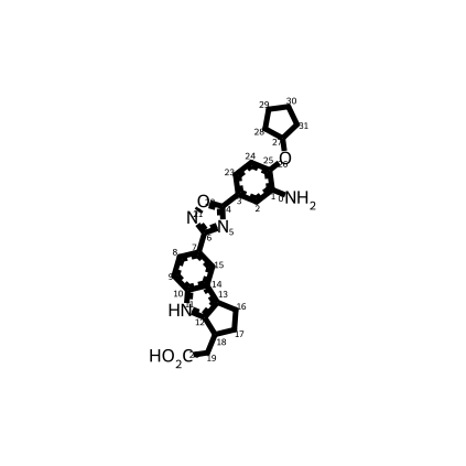 Nc1cc(-c2nc(-c3ccc4[nH]c5c(c4c3)CCC5CC(=O)O)no2)ccc1OC1CCCC1